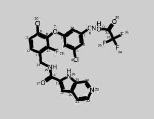 N#Cc1cc(Cl)cc(Oc2c(Cl)ccc(CNC(=O)c3cc4ccncc4[nH]3)c2F)c1.O=C(O)C(F)(F)F